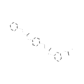 O=C(O)Nc1cccc(NC(=O)CCc2ccc(NC(=O)OCc3ccccc3)cc2)c1